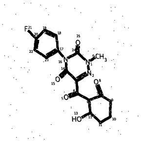 Cn1nc(C(=O)C2C(=O)CCCC2O)c(=O)n(-c2ccc(F)cc2)c1=O